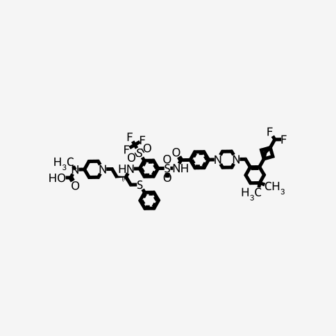 CN(C(=O)O)C1CCN(CC[C@H](CSc2ccccc2)Nc2ccc(S(=O)(=O)NC(=O)c3ccc(N4CCN(CC5=C(C67CC(C(F)F)(C6)C7)CC(C)(C)CC5)CC4)cc3)cc2S(=O)(=O)C(F)(F)F)CC1